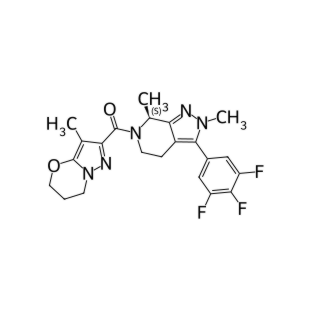 Cc1c(C(=O)N2CCc3c(nn(C)c3-c3cc(F)c(F)c(F)c3)[C@@H]2C)nn2c1OCCC2